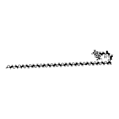 COCCOCCOCCOCCOCCOCCOCCOCCOCCOCCOCCOCCOCCOCCOCCOCCOCCOCCOCC(C)OCC(C)OCC(C)NCCC[Si](C)(O[Si](C)(C)C)O[Si](C)(C)C